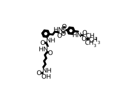 CC(C)(C)OC(=O)NCc1ccc(S(=O)(=O)NC(=O)CCc2ccccc2NC(=O)CNC(=O)CCCCCNC(=O)O)cc1